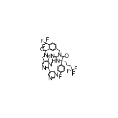 N=C1N[C@](CCCC(F)(F)F)(c2ccc(F)cc2)C(=O)N1Cc1ccc(C(F)(F)F)c(C(=O)N2Cc3cnc(-c4cncnc4)nc3C2)c1